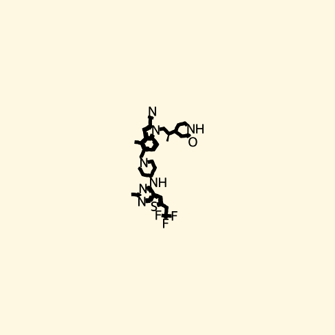 Cc1nc(NC2CCN(Cc3ccc4c(cc(C#N)n4C[C@H](C)C4CCNC(=O)C4)c3C)CC2)c2cc(CC(F)(F)F)sc2n1